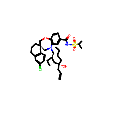 C=CC[C@](O)(CCCC)[C@@H]1CC[C@H]1CN1C[C@@]2(CCCc3cc(Cl)ccc32)COc2ccc(C(=O)NS(=O)(=O)C(C)C)cc21